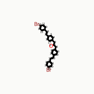 O=C(Cc1ccc(C=Cc2ccc(Br)cc2)cc1)Cc1ccc(C=Cc2ccc(Br)cc2)cc1